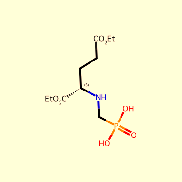 CCOC(=O)CC[C@H](NCP(=O)(O)O)C(=O)OCC